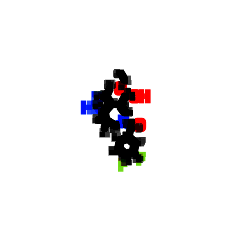 CCOC(O)C1=CN(C(=O)c2ccc(F)c(F)c2)CC(C)(C)c2[nH]nc(C)c21